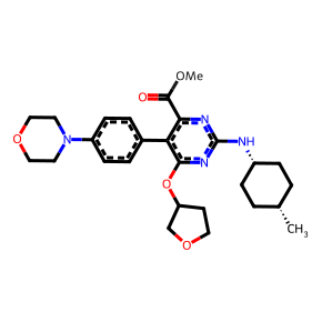 COC(=O)c1nc(N[C@H]2CC[C@@H](C)CC2)nc(OC2CCOC2)c1-c1ccc(N2CCOCC2)cc1